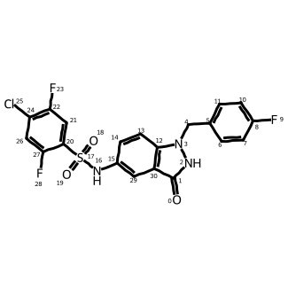 O=c1[nH]n(Cc2ccc(F)cc2)c2ccc(NS(=O)(=O)c3cc(F)c(Cl)cc3F)cc12